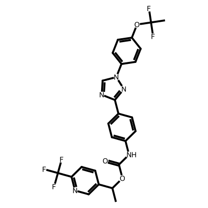 CC(OC(=O)Nc1ccc(-c2ncn(-c3ccc(OC(C)(F)F)cc3)n2)cc1)c1ccc(C(F)(F)F)nc1